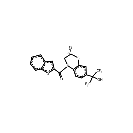 CC[C@H]1CN(C(=O)c2cc3ccccc3s2)c2ccc(C(O)(C(F)(F)F)C(F)(F)F)cc2S1